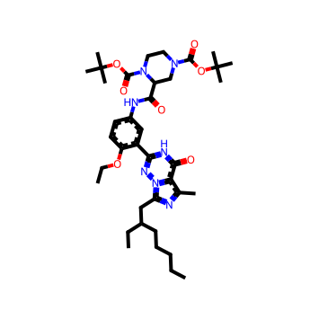 CCCCCC(CC)Cc1nc(C)c2c(=O)[nH]c(-c3cc(NC(=O)C4CN(C(=O)OC(C)(C)C)CCN4C(=O)OC(C)(C)C)ccc3OCC)nn12